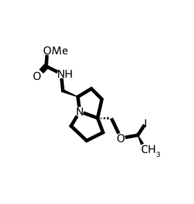 COC(=O)NC[C@H]1CC[C@@]2(CO[C@H](C)I)CCCN12